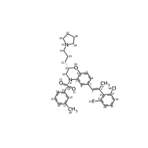 C/C(=C\c1ccc2c(c1)N(S(=O)(=O)c1cccc(C)c1)C[C@H](CCCN1CCCC1)O2)c1c(F)cccc1Cl